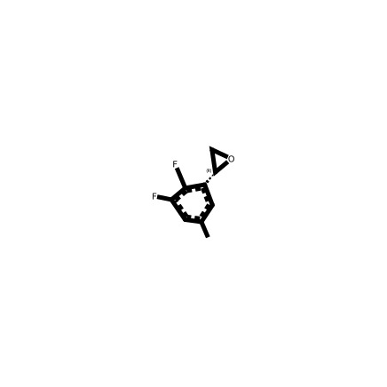 Cc1cc(F)c(F)c([C@@H]2CO2)c1